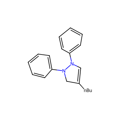 CCCCC1=CN(c2ccccc2)N(c2ccccc2)C1